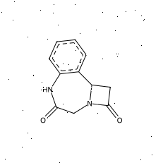 O=C1CN2C(=O)CC2c2ccccc2N1